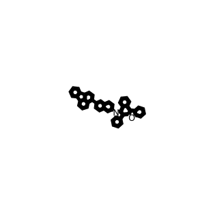 c1ccc2c(c1)-c1cccc3c(-c4ccc5cc(-n6c7ccccc7c7c8oc9ccccc9c8c8ccccc8c76)ccc5c4)ccc-2c13